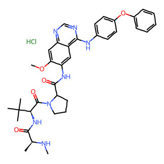 CN[C@@H](C)C(=O)N[C@H](C(=O)N1CCCC1C(=O)Nc1cc2c(Nc3ccc(Oc4ccccc4)cc3)ncnc2cc1OC)C(C)(C)C.Cl